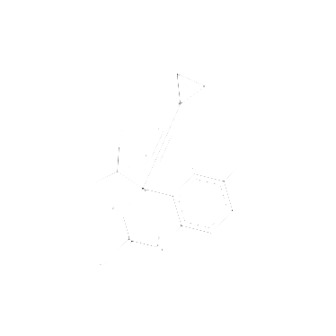 Cc1ccc2c(c1)C(C#CC1CC1)(C(C)C)OC(=O)N2